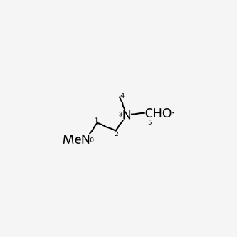 CNCCN(C)[C]=O